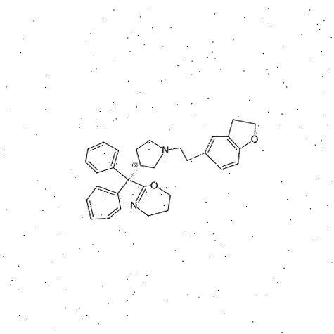 c1ccc(C(C2=NCCCO2)(c2ccccc2)[C@@H]2CCN(CCc3ccc4c(c3)CCO4)C2)cc1